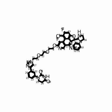 CNC(=O)c1cnc(OCCOCCOCCn2cc(-c3cccc(N4CCC(=O)NC4=O)c3)nn2)c(F)c1-c1c(Cl)c(F)cc2c1C[C@](c1ccccc1)([C@@H]1CCCN1)O2